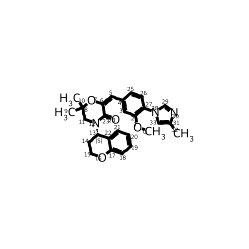 COc1cc(C=C2OC(C)(C)CN([C@H]3CCOc4ccccc43)C2=O)ccc1-n1cnc(C)c1